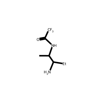 CCC(N)C(C)NC(=O)C(F)(F)F